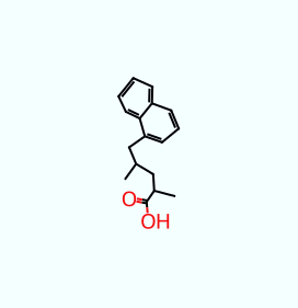 CC(Cc1cccc2ccccc12)CC(C)C(=O)O